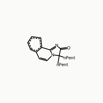 CCCCCC1(CCCCC)C(=O)N=C2c3ccccc3C=CN21